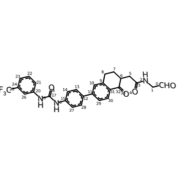 O=CCNC(=O)CC1CCc2cc(-c3ccc(NC(=O)Nc4cccc(C(F)(F)F)c4)cc3)ccc2C1=O